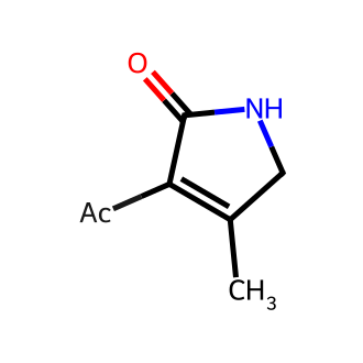 CC(=O)C1=C(C)CNC1=O